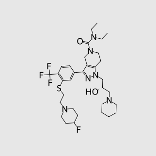 CCN(CC)C(=O)N1CCc2c(c(-c3ccc(C(F)(F)F)c(SCCN4CCC(F)CC4)c3)nn2C[C@@H](O)CN2CCCCC2)C1